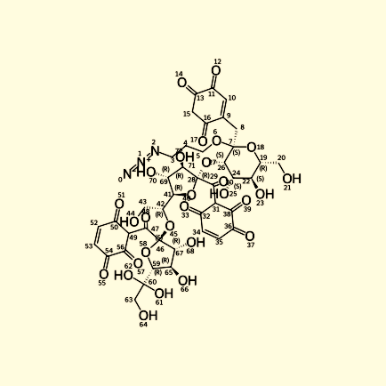 [N-]=[N+]=NCCCO[C@@]1(CC2=CC(=O)C(=O)CC2=O)O[C@H](CO)[C@@H](O)[C@H](O)[C@@H]1O[C@]1(C(=O)C2C(=O)C=CC(=O)C2=O)O[C@@H]([C@@H](CO)O[C@]2(C(=O)C3C(=O)C=CC(=O)C3=O)O[C@@H](C(O)(O)CO)[C@H](O)[C@H]2O)[C@H](O)[C@H]1O